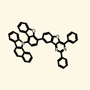 c1ccc(-c2nc(-c3ccccc3)c3oc4ccc(-c5ccc(-n6c7ccccc7c7ccc8ccccc8c76)c6c5oc5ccccc56)cc4c3n2)cc1